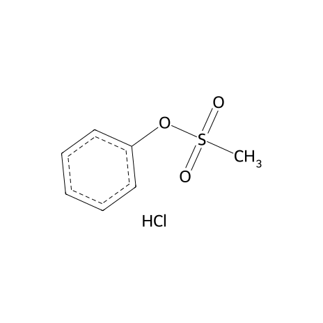 CS(=O)(=O)Oc1ccccc1.Cl